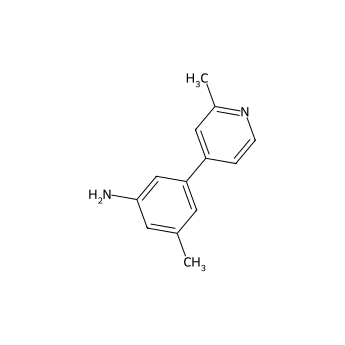 Cc1cc(N)cc(-c2ccnc(C)c2)c1